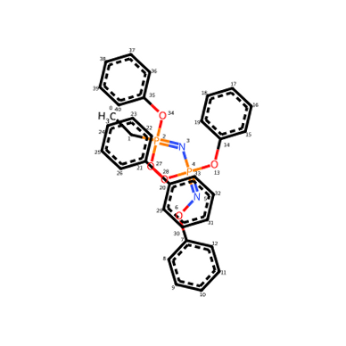 CCP(=NP(=NOc1ccccc1)(Oc1ccccc1)Oc1ccccc1)(Oc1ccccc1)Oc1ccccc1